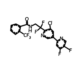 O=C(NCC(F)(F)c1ncc(-c2cc(F)c(F)cn2)cc1Cl)c1ccccc1C(F)(F)F